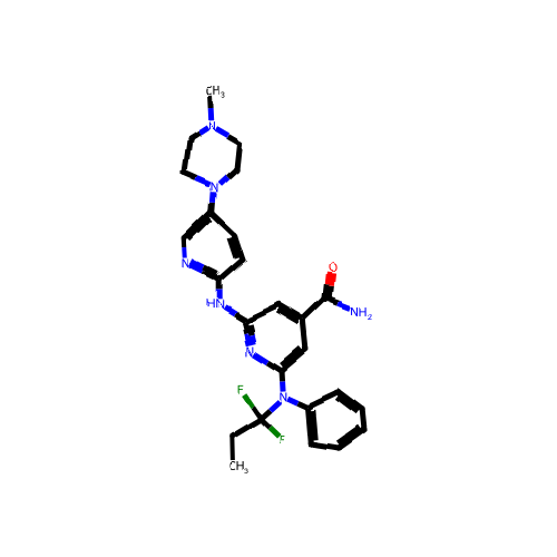 CCC(F)(F)N(c1ccccc1)c1cc(C(N)=O)cc(Nc2ccc(N3CCN(C)CC3)cn2)n1